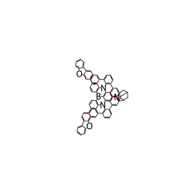 c1ccc(-c2cccc(-c3ccccc3)c2N2c3cc(-c4ccc5c(c4)oc4ccccc45)ccc3B3c4ccc(-c5ccc6c(c5)oc5ccccc56)cc4N(c4c(-c5ccccc5)cccc4-c4ccccc4)c4cc(N5C6CC7CC(C6)C5C7)cc2c43)cc1